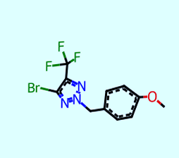 COc1ccc(Cn2nc(Br)c(C(F)(F)F)n2)cc1